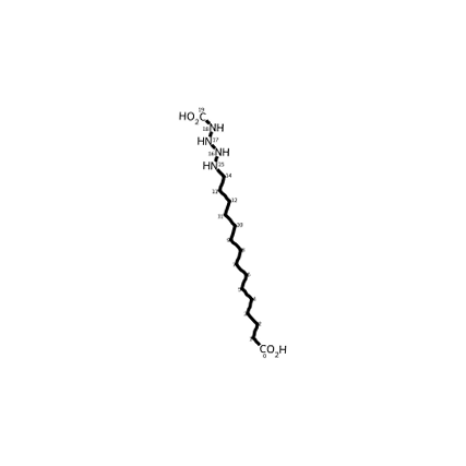 O=C(O)CCCCCCCCCCCCCCNNNNC(=O)O